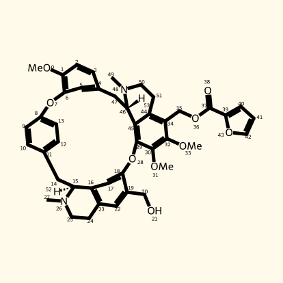 COc1ccc2cc1Oc1ccc(cc1)C[C@H]1c3cc(c(CO)cc3CCN1C)Oc1c(OC)c(OC)c(COC(=O)c3ccco3)c3c1[C@H](C2)N(C)CC3